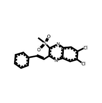 CS(=O)(=O)c1nc2cc(Cl)c(Cl)cc2nc1C=Cc1ccccc1